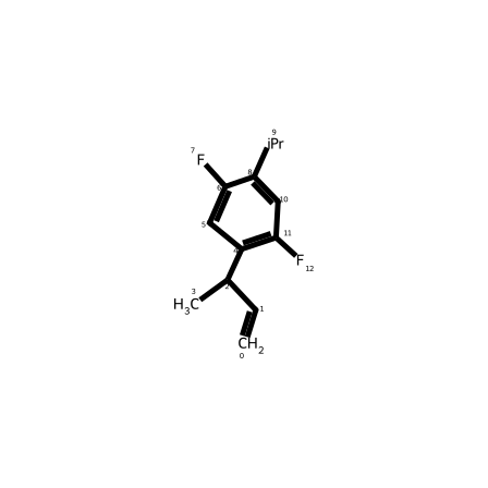 C=CC(C)c1cc(F)c(C(C)C)cc1F